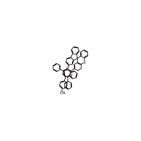 N#Cc1ccc(-c2ccc(-c3ccc4c(c3)C3(C5=C(CCC(c6nc(-c7ccccc7)cc(-c7ccccc7)n6)=C5)Sc5ccccc53)c3ccccc3-4)c3ccccc23)cc1